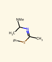 CNC(C)/N=C(/C)SC(C)C